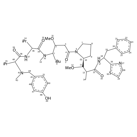 CCC(C)C(C(CC(=O)N1CCC[C@H]1C(OC)C(C)C(=O)NC(Cc1ccccc1)c1nccs1)OC)N(C)C(=O)C(NC(=O)C(C(C)C)N(C)Cc1ccc(O)cc1)C(C)C